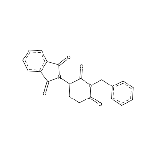 O=C1CCC(N2C(=O)c3ccccc3C2=O)C(=O)N1Cc1ccccc1